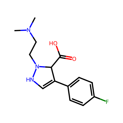 CN(C)CCN1NC=C(c2ccc(F)cc2)C1C(=O)O